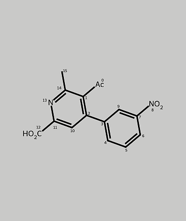 CC(=O)c1c(-c2cccc([N+](=O)[O-])c2)cc(C(=O)O)nc1C